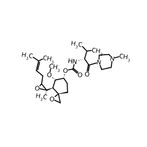 CO[C@@H]1[C@H](OC(=O)N[C@@H](C(=O)N2CCN(C)CC2)C(C)C)CC[C@]2(CO2)[C@H]1[C@@]1(C)OC1CC=C(C)C